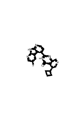 O=c1[nH]c(-c2ccnc3[nH]c4ncc(F)cc4c23)nc2cncc(C3CCC3)c12